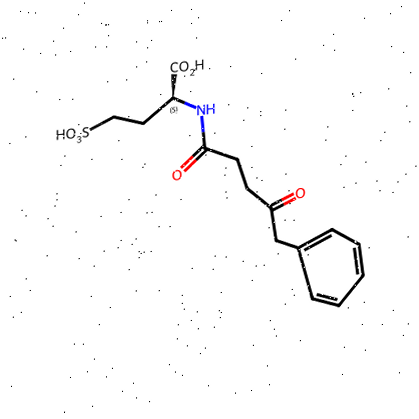 O=C(CCC(=O)N[C@@H](CCS(=O)(=O)O)C(=O)O)Cc1ccccc1